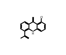 C=C(C)c1cccc2c1Nc1cccc(Cl)c1C2=C